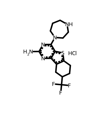 Cl.Nc1nc(N2CCCNCC2)c2sc3c(c2n1)CC(C(F)(F)F)CC3